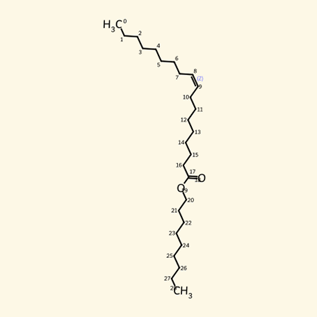 CCCCCCCC/C=C\CCCCCCCC(=O)OCCCCCCCCC